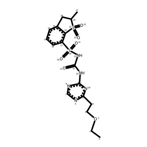 CCOCCc1ncnc(NC(=O)NS(=O)(=O)c2cccc3c2S(=O)(=O)C(C)C3)n1